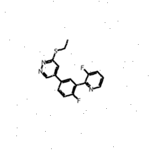 CCSc1cc(-c2ccc(F)c(-c3ncccc3F)c2)cnn1